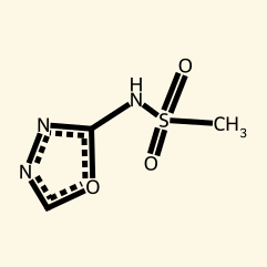 CS(=O)(=O)Nc1nnco1